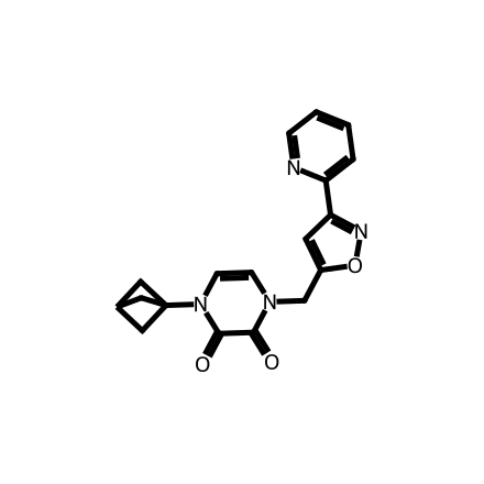 O=c1c(=O)n(C23CC(C2)C3)ccn1Cc1cc(-c2ccccn2)no1